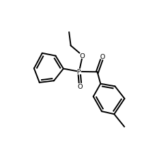 CCOP(=O)(C(=O)c1ccc(C)cc1)c1ccccc1